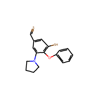 S=Cc1cc(S)c(Oc2ccccc2)c(N2CCCC2)c1